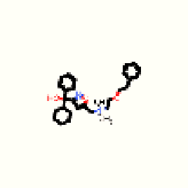 C[N+](C)(CCOCCc1ccccc1)Cc1cc(C(O)(c2ccccc2)C2CCCCC2)no1